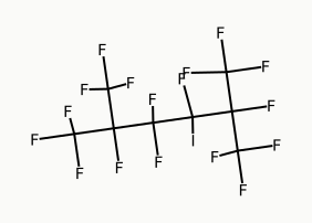 FC(F)(F)C(F)(C(F)(F)F)C(F)(F)C(F)(I)C(F)(C(F)(F)F)C(F)(F)F